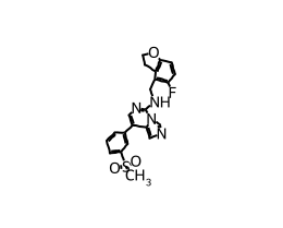 CS(=O)(=O)c1cccc(-c2cnc(NCc3c(F)ccc4c3CCO4)n3cncc23)c1